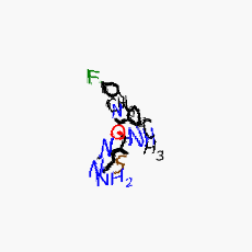 Cc1cc(F)ccc1Cc1nccc2c(NC(=O)c3csc4c(N)ncnc34)c(C)ccc12